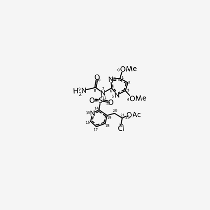 COc1cc(OC)nc(N(C(N)=O)S(=O)(=O)c2ncccc2CC(Cl)OC(C)=O)n1